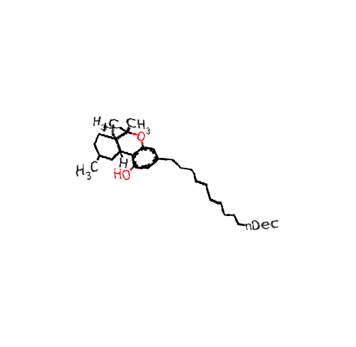 CCCCCCCCCCCCCCCCCCCCc1cc(O)c2c(c1)OC(C)(C)[C@H]1CCC(C)C[C@@H]21